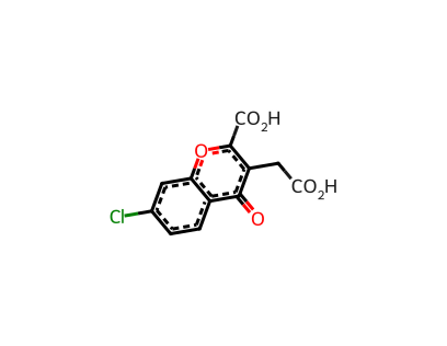 O=C(O)Cc1c(C(=O)O)oc2cc(Cl)ccc2c1=O